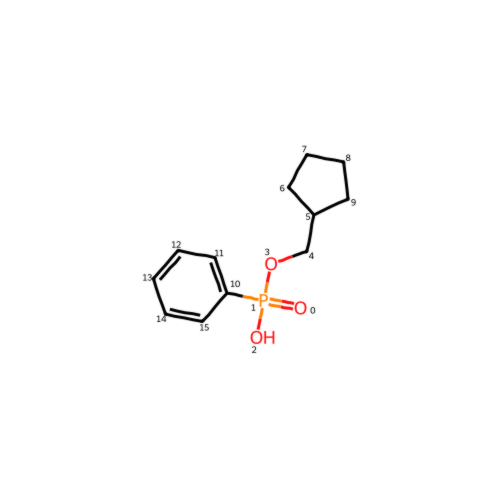 O=P(O)(OCC1CCCC1)c1ccccc1